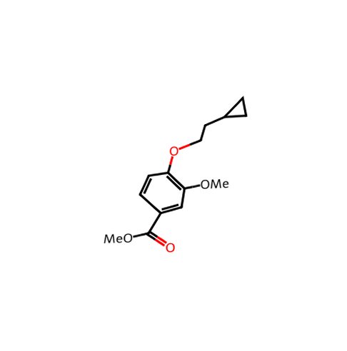 COC(=O)c1ccc(OCCC2CC2)c(OC)c1